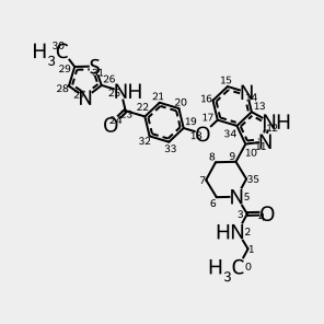 CCNC(=O)N1CCCC(c2n[nH]c3nccc(Oc4ccc(C(=O)Nc5ncc(C)s5)cc4)c23)C1